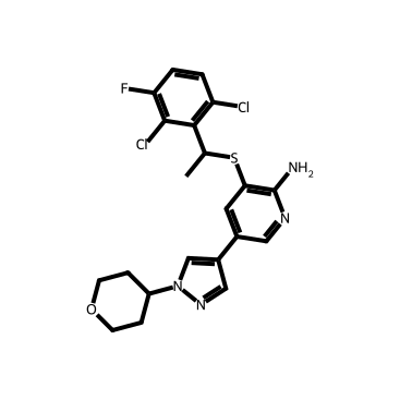 CC(Sc1cc(-c2cnn(C3CCOCC3)c2)cnc1N)c1c(Cl)ccc(F)c1Cl